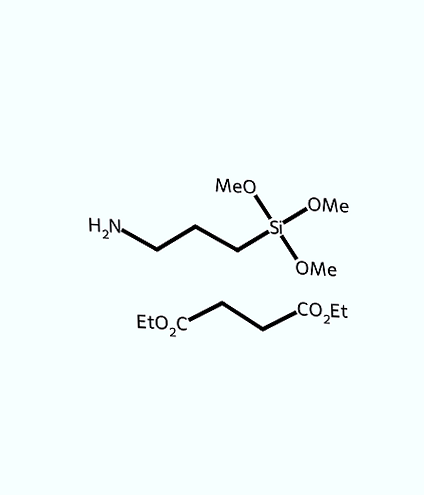 CCOC(=O)CCC(=O)OCC.CO[Si](CCCN)(OC)OC